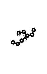 c1ccc(-c2cccc(-c3ccc(-c4nc5c(-c6cccc(-c7cccnc7)c6)cc(-c6cccc(-c7ccccc7)c6)cc5s4)cc3)c2)cc1